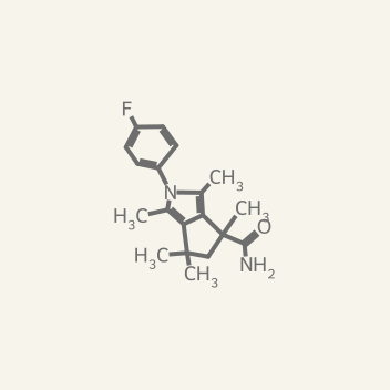 Cc1c2c(c(C)n1-c1ccc(F)cc1)C(C)(C(N)=O)CC2(C)C